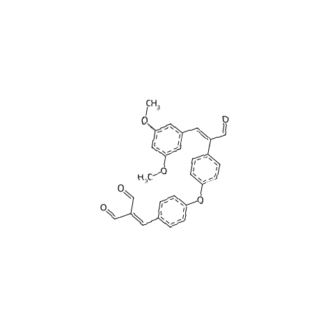 COc1cc(/C=C(/C=O)c2ccc(Oc3ccc(C=C(C=O)C=O)cc3)cc2)cc(OC)c1